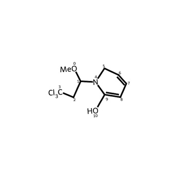 COC(CC(Cl)(Cl)Cl)N1CC=CC=C1O